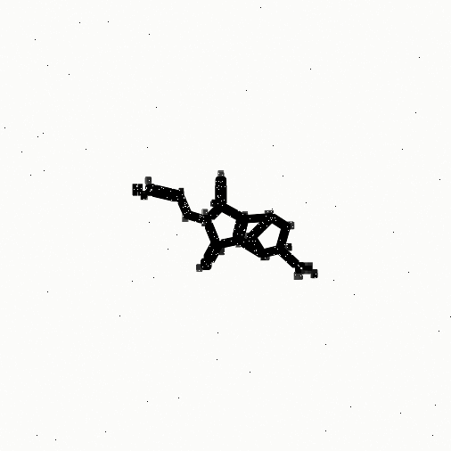 C=CCN1C(=O)C2=C(C1=O)C1CC2CC1C